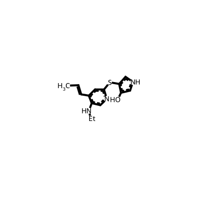 C/C=C/c1cc(Sc2c[nH]cc2O)ncc1NCC